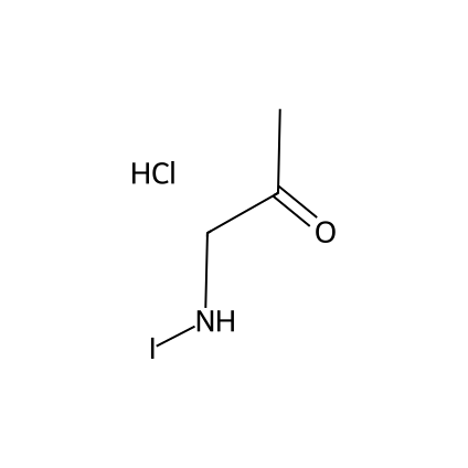 CC(=O)CNI.Cl